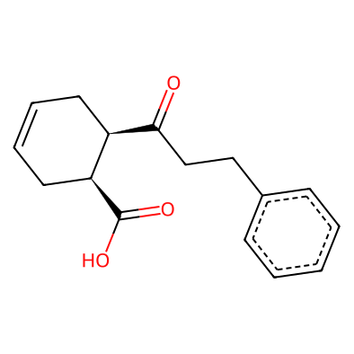 O=C(O)[C@H]1CC=CC[C@H]1C(=O)CCc1ccccc1